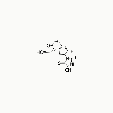 C#CCN1C(=O)COc2cc(F)c(-n3c(=O)[nH]n(C)c3=S)cc21